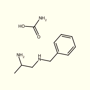 CC(N)CNCc1ccccc1.NC(=O)O